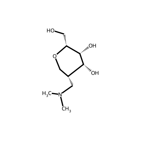 CN(C)C[C@@H]1CO[C@H](CO)[C@H](O)[C@@H]1O